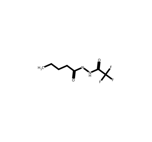 CCCCC(=O)[N]NC(=O)C(F)(F)F